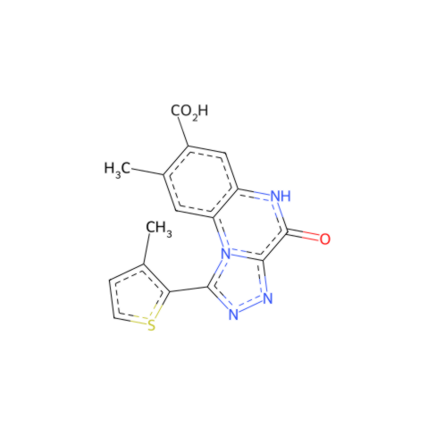 Cc1cc2c(cc1C(=O)O)[nH]c(=O)c1nnc(-c3sccc3C)n12